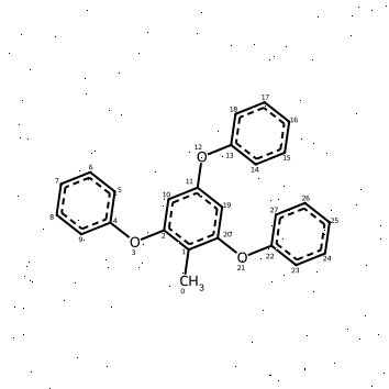 Cc1c(Oc2ccccc2)[c]c(Oc2ccccc2)cc1Oc1ccccc1